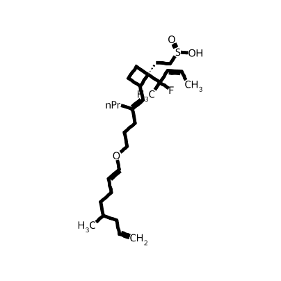 C=CCC(C)CC/C=C/OCCC/C(=C/C1CC[C@@]1(CCS(=O)O)C(C)(F)C=CC)CCC